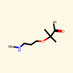 CC(C)C(=O)C(C)(C)OCCCNC(C)(C)C